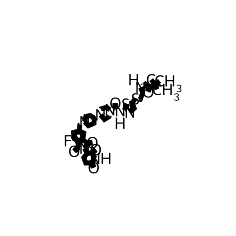 CC(C)(C)c1cnc(CSc2cnc(NC(=O)N3CCN(C4CCN(Cc5cc(F)c6c(c5)C(=O)N(C5CCC(=O)NC5=O)C6=O)CC4)CC3)s2)o1